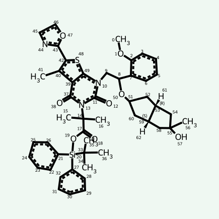 COc1ccccc1C(Cn1c(=O)n(C(C)(C)C(=O)O[Si](c2ccccc2)(c2ccccc2)C(C)(C)C)c(=O)c2c(C)c(-c3ncco3)sc21)OC1C[C@@H]2CC(C)(O)C[C@@H]2C1